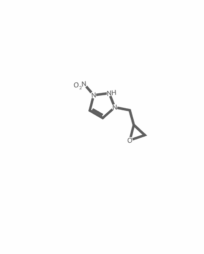 O=[N+]([O-])N1C=CN(CC2CO2)N1